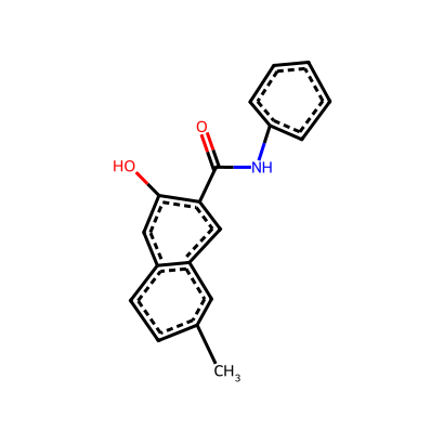 Cc1ccc2cc(O)c(C(=O)Nc3ccccc3)cc2c1